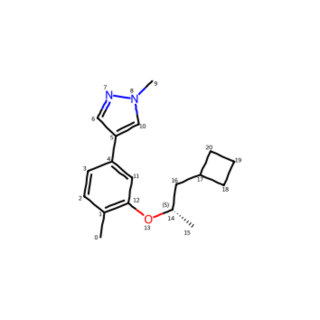 Cc1ccc(-c2cnn(C)c2)cc1O[C@@H](C)CC1CCC1